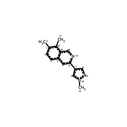 Cc1ccc2cc(-c3cnn(C)c3)ncc2c1C